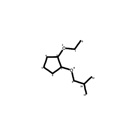 CCOC1CCCC1OCC(C)C